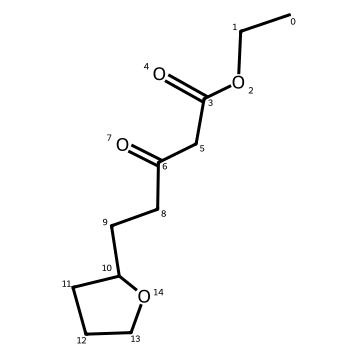 CCOC(=O)CC(=O)CCC1CCCO1